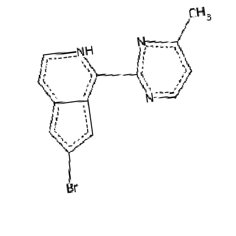 Cc1ccnc(-c2[nH]ccc3cc(Br)cc2-3)n1